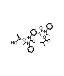 C=C(C)C(=O)OC(C)N(C(=O)N(C)c1cccc(N(C)C(=O)N(c2ccccc2)C(C)OC2=C(O)C2=C)c1)c1ccccc1